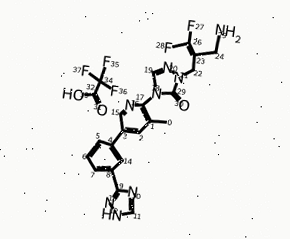 Cc1cc(-c2cccc(-c3nc[nH]n3)c2)cnc1-n1cnn(CC(CN)=C(F)F)c1=O.O=C(O)C(F)(F)F